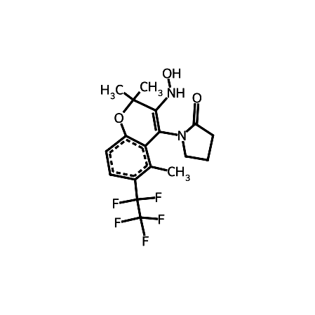 Cc1c(C(F)(F)C(F)(F)F)ccc2c1C(N1CCCC1=O)=C(NO)C(C)(C)O2